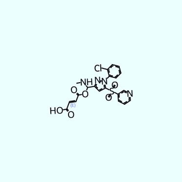 CNC(OC(=O)/C=C/C(=O)O)c1cc(S(=O)(=O)c2cccnc2)n(-c2ccccc2Cl)n1